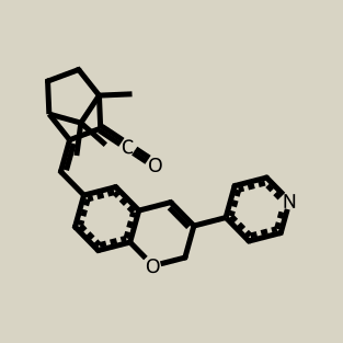 CC12CCC(C(=Cc3ccc4c(c3)C=C(c3ccncc3)CO4)C1=C=O)C2(C)C